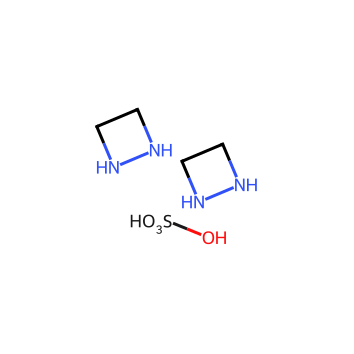 C1CNN1.C1CNN1.O=S(=O)(O)O